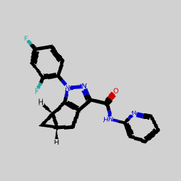 O=C(Nc1ccccn1)c1nn(-c2ccc(F)cc2F)c2c1C[C@@H]1C[C@H]21